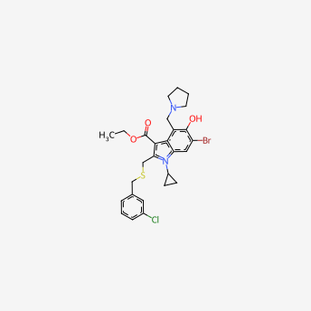 CCOC(=O)c1c(CSCc2cccc(Cl)c2)n(C2CC2)c2cc(Br)c(O)c(CN3CCCC3)c12